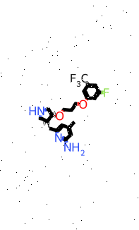 Cc1cc(N)nc(C[C@@H]2CNC[C@@H]2OCCCOc2cc(F)cc(C(F)(F)F)c2)c1